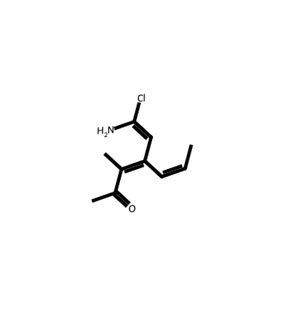 C\C=C/C(/C=C(\N)Cl)=C(/C)C(C)=O